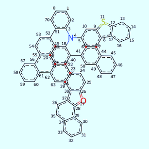 c1ccc(N(c2ccc3c(c2)sc2ccccc23)c2cccc(-c3ccc4oc5c6ccccc6ccc5c4c3)c2-c2ccc3ccccc3c2)c(-c2ccc3c4ccccc4c4ccccc4c3c2)c1